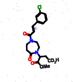 COC(=O)C(CC(=O)O)N1CCN(C(=O)/C=C/c2cccc(Cl)c2)CCC1=O